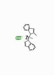 CC1=Cc2ccccc2[CH]1[Zr]([CH3])([CH3])[CH]1C=Cc2ccccc21.[Cl-].[Cl-]